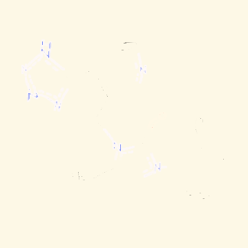 CCCCc1cn(-c2ccccc2C(C)C)c(=O)n1Cc1cnccc1-c1nnn[nH]1